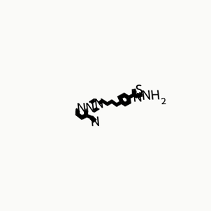 N#Cc1cccnc1N1CCN(CCCCc2ccc(-c3csc(N)n3)cc2)CC1